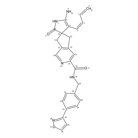 C=C/C=C\C1=C(N)NC(=O)C12Cc1cnc(C(=O)NCc3ccc(-c4ccon4)cc3)cc1C2